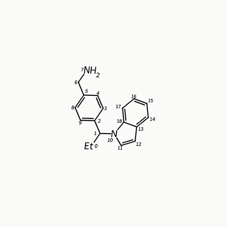 CCC(c1ccc(CN)cc1)n1ccc2ccccc21